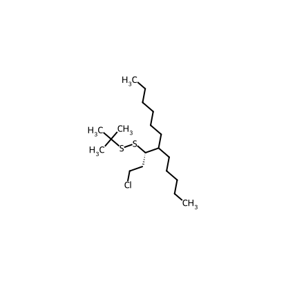 CCCCCCC(CCCCC)[C@H](CCCl)SSC(C)(C)C